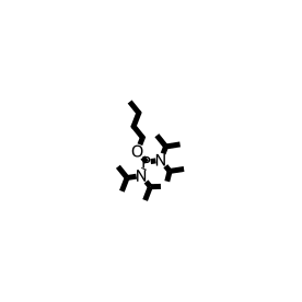 CCCCOP(N(C(C)C)C(C)C)N(C(C)C)C(C)C